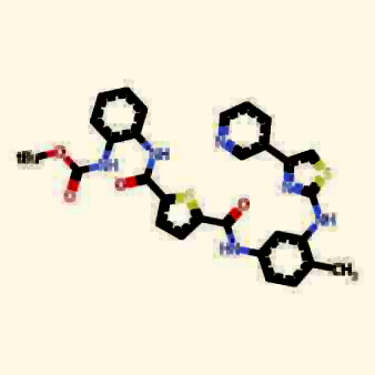 Cc1ccc(NC(=O)c2ccc(C(=O)Nc3ccccc3NC(=O)OC(C)(C)C)s2)cc1Nc1nc(-c2cccnc2)cs1